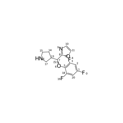 Fc1cc(F)c(O[C@H](c2ncco2)C2CCNC2)c(F)c1